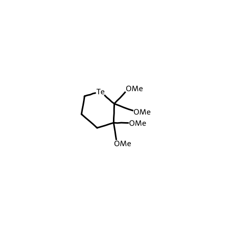 COC1(OC)CCC[Te]C1(OC)OC